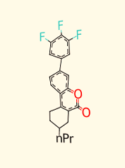 CCCC1CCc2c(c(=O)oc3cc(-c4cc(F)c(F)c(F)c4)ccc23)C1